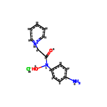 Nc1ccc(N(O)C(=O)C[n+]2ccccc2)cc1.[Cl-]